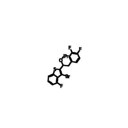 CC(C)OC(Cc1ccc(F)c(F)c1)c1sc2cccc(F)c2c1Br